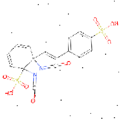 O=C=NC1(C=Cc2ccc(S(=O)(=O)O)cc2)C=CC=CC1(N=C=O)S(=O)(=O)O